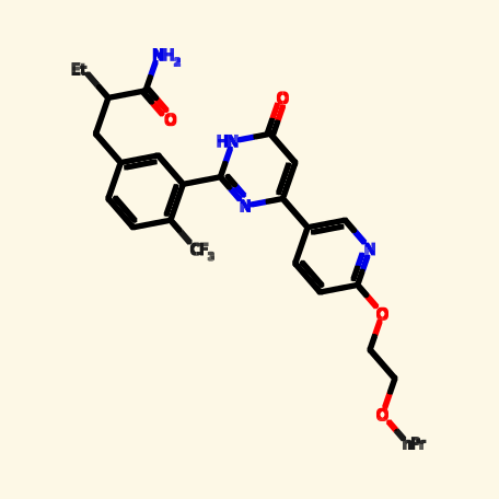 CCCOCCOc1ccc(-c2cc(=O)[nH]c(-c3cc(CC(CC)C(N)=O)ccc3C(F)(F)F)n2)cn1